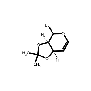 CC[C@H]1OC=C[C@H]2OC(C)(C)O[C@H]21